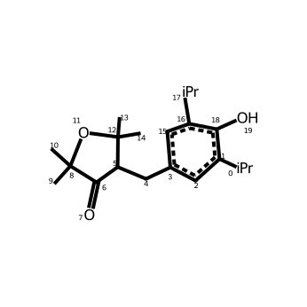 CC(C)c1cc(CC2C(=O)C(C)(C)OC2(C)C)cc(C(C)C)c1O